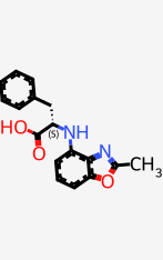 Cc1nc2c(N[C@@H](Cc3ccccc3)C(=O)O)cccc2o1